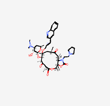 CC[C@H]1OC(=O)[C@H](C)C(=O)[C@H](C)[C@@H](O[C@@H]2O[C@H](C)C[C@H](N(C)C)[C@H]2O)[C@](C)(OC/C=C/c2cnc3ccccc3c2)C[C@@H](C)C(=O)[C@H](C)[C@H]2N(CCN3CCCC3)C(=O)O[C@]12C